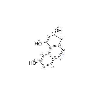 OC1=CC(O)CC(/C=C\c2ccc(O)cc2)=C1